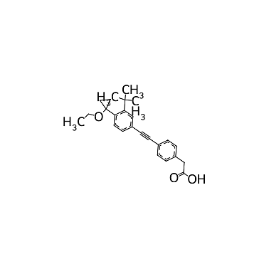 CCOC1(c2ccc(C#Cc3ccc(CC(=O)O)cc3)cc2C(C)(C)C)CC1